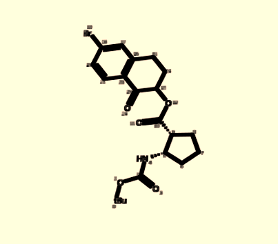 CC(C)(C)OC(=O)N[C@H]1CCC[C@H]1C(=O)OC1CCc2cc(Br)ccc2C1=O